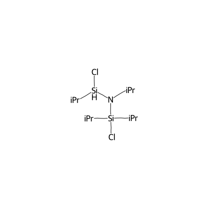 CC(C)N([SiH](Cl)C(C)C)[Si](Cl)(C(C)C)C(C)C